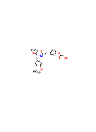 COC(=O)C(Cc1ccc(OC(=O)O)cc1)NC(=O)CCc1ccc(OC(=O)CO)cc1